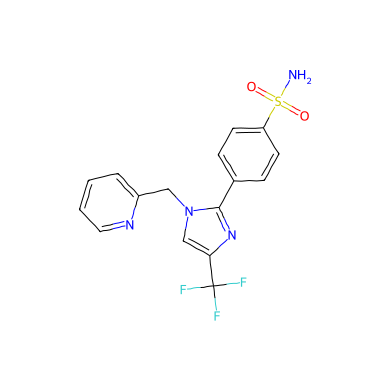 NS(=O)(=O)c1ccc(-c2nc(C(F)(F)F)cn2Cc2ccccn2)cc1